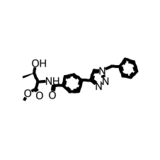 COC(=O)C(NC(=O)c1ccc(-c2cn(Cc3ccccc3)nn2)cc1)[C@@H](C)O